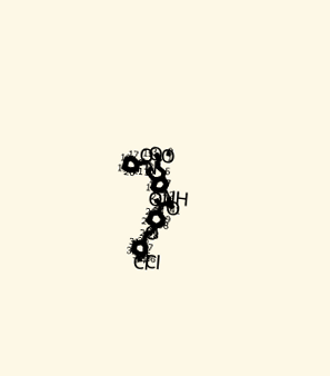 COC(=O)C1Cc2cc3c(cc2CN1C(=O)c1ccccc1)OC(c1ccc(OCc2ccc(Cl)c(Cl)c2)cc1)C(=O)N3